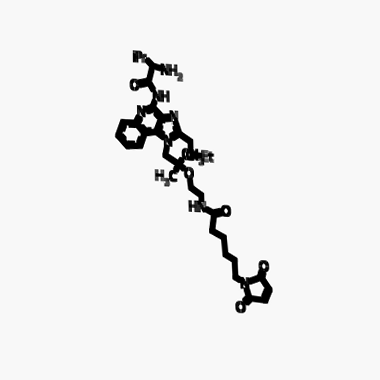 CCOCc1nc2c(NC(=O)C(N)C(C)C)nc3ccccc3c2n1CC(C)(C)OCCNC(=O)CCCCCN1C(=O)C=CC1=O